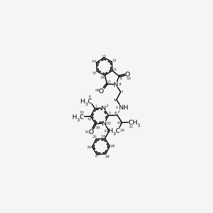 Cc1nc([C@H](NCCN2C(=O)c3ccccc3C2=O)C(C)C)n(Cc2ccccc2)c(=O)c1C